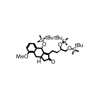 COc1cccc2c1C[C@H]1CC(=O)C(CC[C@H](CO[Si](C)(C)C(C)(C)C)O[Si](C)(C)C(C)(C)C)=C1[C@@H]2O[Si](C)(C)C(C)(C)C